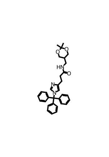 CC1(C)OCC(CNC(=O)CCc2cn(C(c3ccccc3)(c3ccccc3)c3ccccc3)cn2)CO1